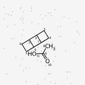 C1C2C3CC4C1C2C34.CC(=O)O